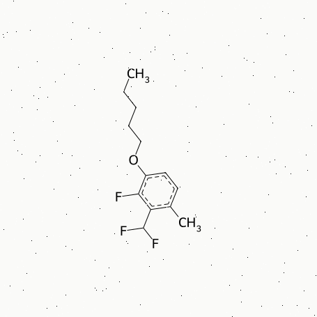 CCCCCOc1ccc(C)c(C(F)F)c1F